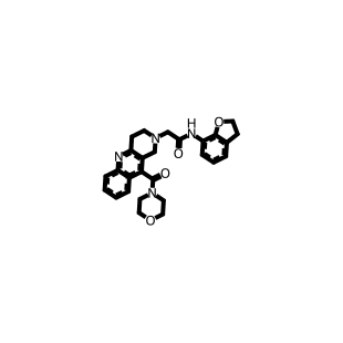 O=C(CN1CCc2nc3ccccc3c(C(=O)N3CCOCC3)c2C1)Nc1cccc2c1OCC2